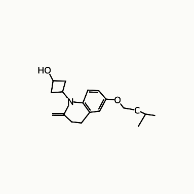 C=C1CCc2cc(OCCC(C)C)ccc2N1C1CC(O)C1